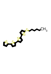 CCCCCCSc1ccc(-c2ccc(-c3ccc(-c4cccs4)s3)s2)s1